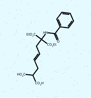 CCOC(=O)C(CC=CCC(C(=O)O)C(=O)O)(NC(=O)c1ccccc1)C(=O)OCC